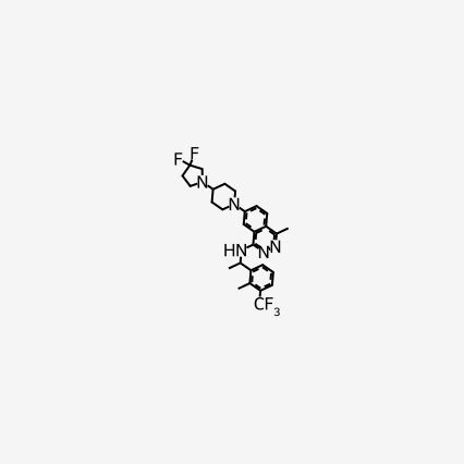 Cc1c(C(C)Nc2nnc(C)c3ccc(N4CCC(N5CCC(F)(F)C5)CC4)cc23)cccc1C(F)(F)F